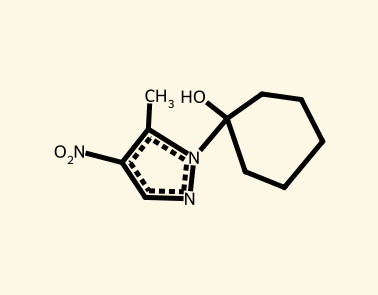 Cc1c([N+](=O)[O-])cnn1C1(O)CCCCC1